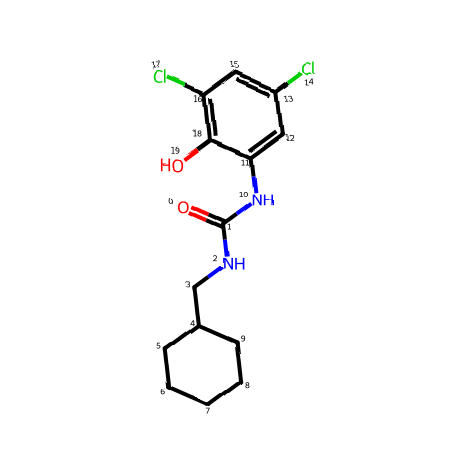 O=C(NCC1CCCCC1)Nc1cc(Cl)cc(Cl)c1O